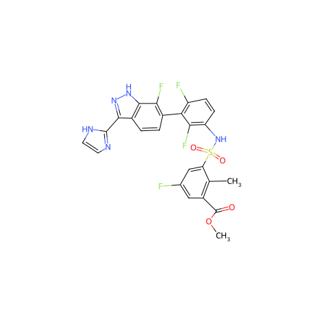 COC(=O)c1cc(F)cc(S(=O)(=O)Nc2ccc(F)c(-c3ccc4c(-c5ncc[nH]5)n[nH]c4c3F)c2F)c1C